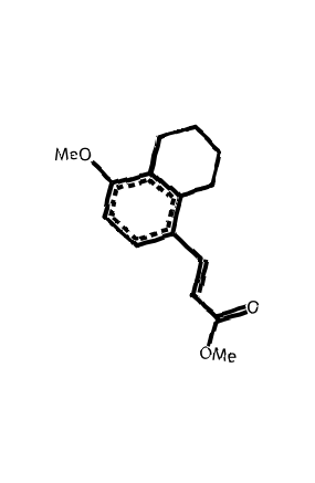 COC(=O)/C=C/c1ccc(OC)c2c1CCCC2